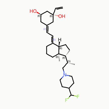 C=C[C@@]1(O)C/C(=C\C=C2/CCC[C@]3(C)[C@@H]([C@H](C)CN4CCC(C(F)F)CC4)CC[C@@H]23)C[C@@H](O)C1